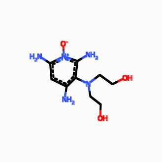 Nc1cc(N)[n+]([O-])c(N)c1N(CCO)CCO